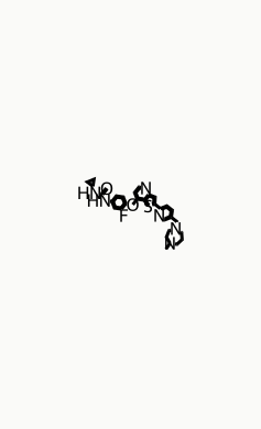 CN1CCCN(Cc2ccc(-c3cc4nccc(Oc5ccc(NC(=O)NC6CC6)cc5F)c4s3)nc2)CC1